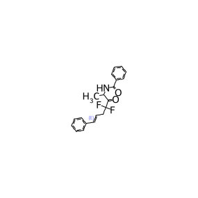 CC(NC(=O)c1ccccc1)C(=O)C(F)(F)C/C=C/c1ccccc1